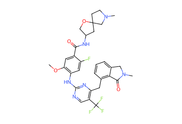 COc1cc(C(=O)NC2COC3(CCN(C)C3)C2)c(F)cc1Nc1ncc(C(F)(F)F)c(Cc2cccc3c2C(=O)N(C)C3)n1